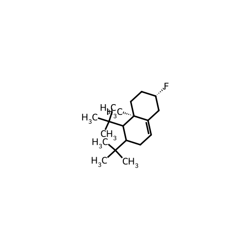 CC(C)(C)C1CC=C2C[C@@H](F)CC[C@]2(C)C1C(C)(C)C